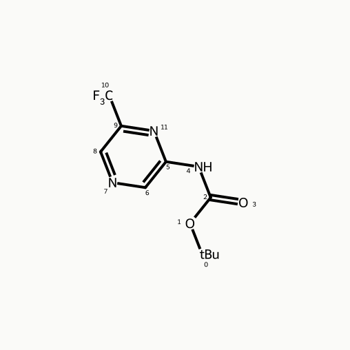 CC(C)(C)OC(=O)Nc1cncc(C(F)(F)F)n1